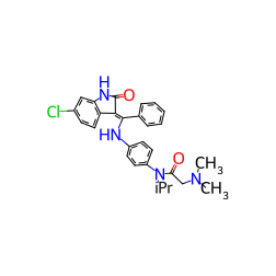 CC(C)N(C(=O)CN(C)C)c1ccc(NC(=C2C(=O)Nc3cc(Cl)ccc32)c2ccccc2)cc1